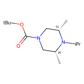 CC(C)N1[C@H](C)CN(C(=O)OC(C)(C)C)C[C@@H]1C